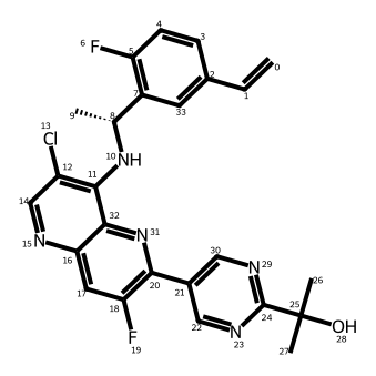 C=Cc1ccc(F)c([C@@H](C)Nc2c(Cl)cnc3cc(F)c(-c4cnc(C(C)(C)O)nc4)nc23)c1